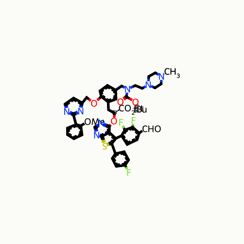 CCOC(=O)[C@@H](Cc1cc(CN(CCN2CCN(C)CC2)C(=O)OC(C)(C)C)ccc1OCc1ccnc(-c2ccccc2OC)n1)Oc1ncnc2sc(-c3ccc(F)cc3)c(-c3ccc(C=O)c(F)c3F)c12